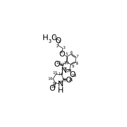 COCCOc1cccc2c1C(=O)N(C1CCC(=O)NC1=O)C2=O